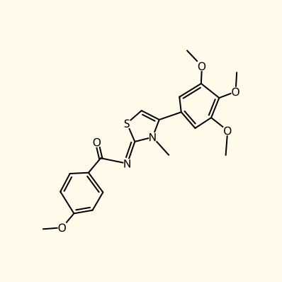 COc1ccc(C(=O)/N=c2\scc(-c3cc(OC)c(OC)c(OC)c3)n2C)cc1